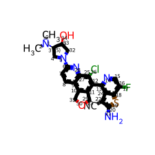 CN(C)[C@H]1CN(c2ccc3c4c(c(-c5ncc(F)c6sc(N)c(C#N)c56)c(Cl)c3n2)COC4)C[C@@H]1O